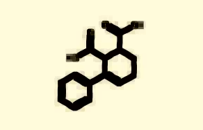 O=C(O)C1CCC=C(c2ccccc2)C1C(=O)O